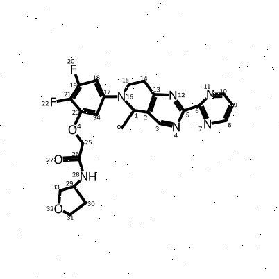 CC1c2cnc(-c3ncccn3)nc2CCN1c1cc(F)c(F)c(OCC(=O)NC2CCOC2)c1